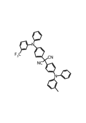 Cc1cccc(N(c2ccccc2)c2ccc(C(C#N)(C#N)c3ccc(N(c4ccccc4)c4cccc(C(F)(F)F)c4)cc3)cc2)c1